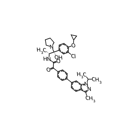 Cc1nn(C(C)C)c2cc(-c3ccc(C(=O)C(=O)N[C@H](C)[C@](O)(c4ccc(OC5CC5)c(Cl)c4)N4CCCC4)cc3)ccc12